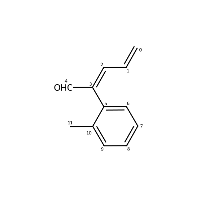 C=C/C=C(/C=O)c1ccccc1C